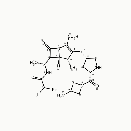 C[C@@H](NC(=O)C(F)F)[C@H]1C(=O)N2C(C(=O)O)=C(S[C@@H]3CN[C@H](C(=O)N4CC(N)C4)C3)[C@H](C)[C@H]12